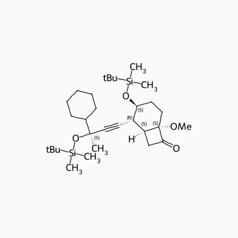 CO[C@@]12CC[C@H](O[Si](C)(C)C(C)(C)C)[C@@H](C#C[C@@](C)(O[Si](C)(C)C(C)(C)C)C3CCCCC3)[C@@H]1CC2=O